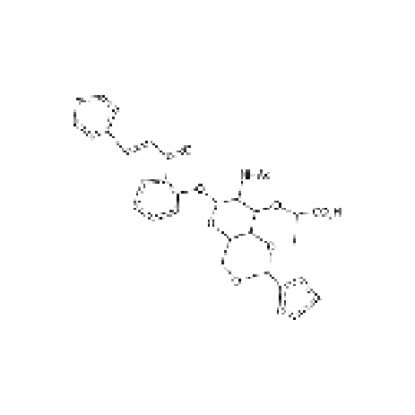 CC(=O)NC1C(Oc2ccccc2C(=O)/C=C/c2ccccc2)OC2COC(c3ccco3)OC2C1OC(C)C(=O)O